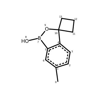 Cc1ccc2c(c1)B(O)OC21CCC1